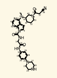 CN(c1ncnc2c1ccn2C(=O)NCC(=O)Nc1ccc(N2CCNCC2)cc1)[C@@H]1CCCN(C(=O)CC#N)C1